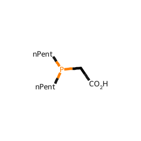 CCCCCP(CCCCC)CC(=O)O